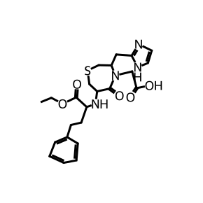 CCOC(=O)C(CCc1ccccc1)NC1CSCC(Cc2ncc[nH]2)N(CC(=O)O)C1=O